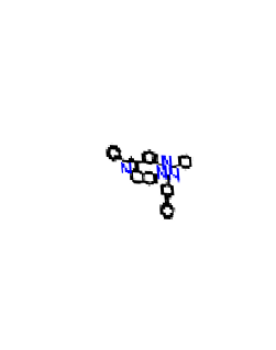 c1ccc(-c2ccc(-c3nc(-c4ccccc4)nc(-c4cccc(-c5cc(-c6ccccc6)nc6ccc7ccccc7c56)c4)n3)cc2)cc1